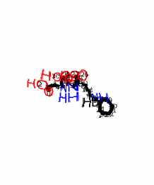 O=C(O)CC[C@H](NC(=O)N[C@H](CCCCNBC1CCCCCCC1)C(=O)O)C(=O)O